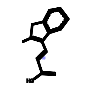 CC1=C(/C=C/C(=O)O)c2ccccc2C1